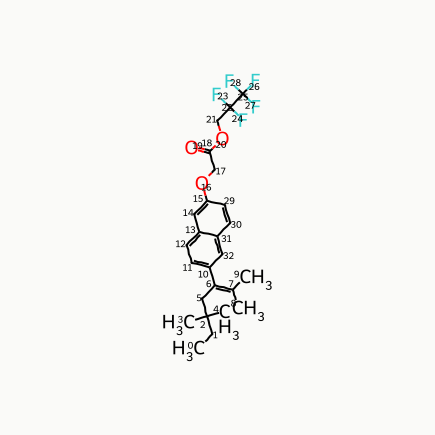 CCC(C)(C)CC(=C(C)C)c1ccc2cc(OCC(=O)OCC(F)(F)C(F)(F)F)ccc2c1